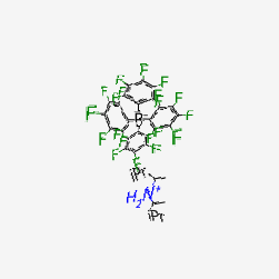 CC(C)C(C)[NH2+]C(C)C(C)C.Fc1c(F)c(F)c([B-](c2c(F)c(F)c(F)c(F)c2F)(c2c(F)c(F)c(F)c(F)c2F)c2c(F)c(F)c(F)c(F)c2F)c(F)c1F